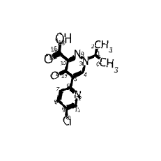 CC(C)n1cc(-c2ccc(Cl)cn2)c(=O)c(C(=O)O)n1